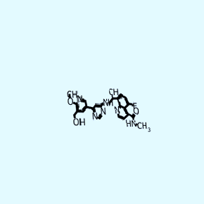 CNC(=O)c1ccnc2c([C@H](C)CNc3cc(-c4cnc(OC)c(CO)c4)ncn3)ccc(F)c12